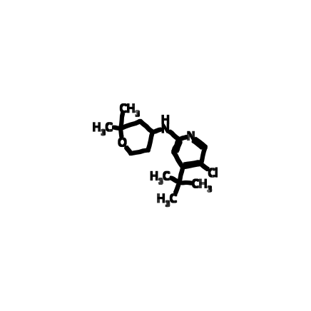 CC1(C)CC(Nc2cc(C(C)(C)C)c(Cl)cn2)CCO1